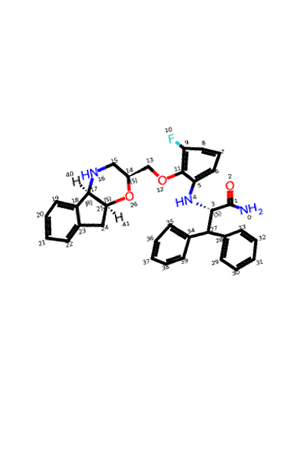 NC(=O)[C@@H](Nc1cccc(F)c1OC[C@@H]1CN[C@@H]2c3ccccc3C[C@@H]2O1)C(c1ccccc1)c1ccccc1